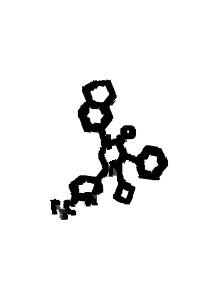 O=C([C@H](NC1CCC1)c1ccccc1)N(CCc1ccc(C(F)(F)F)nc1)c1ccc2c(c1)CCCC2